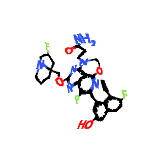 C#Cc1c(F)ccc2cc(O)cc(-c3nc4c5c(nc(OC[C@@]67CCCN6C[C@H](F)C7)nc5c3F)N(C=CC(N)=O)CCO4)c12